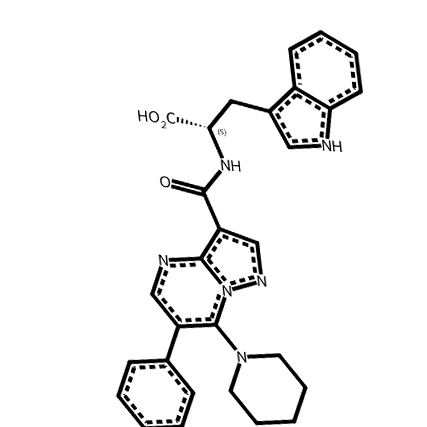 O=C(N[C@@H](Cc1c[nH]c2ccccc12)C(=O)O)c1cnn2c(N3CCCCC3)c(-c3ccccc3)cnc12